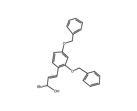 CC(C)(C)C(O)/C=C/c1ccc(OCc2ccccc2)cc1OCc1ccccc1